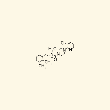 Cc1cccc(CCNC(=O)N2CCN(c3ncccc3Cl)C[C@H]2C)c1C